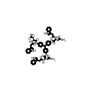 NC(=O)C[C@H](NC(=O)Cc1c[nH]c2ccccc12)C(=O)Nc1ccc(C(c2ccc(NC(=O)[C@H](CC(N)=O)NC(=O)Cc3c[nH]c4ccccc34)cc2)c2ccc(NC(=O)[C@H](CC(N)=O)NC(=O)Cc3c[nH]c4ccccc34)cc2)cc1